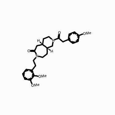 COc1ccc(CC(=O)N2CC[C@H]3CC(=O)N(CCc4cccc(OC)c4OC)CC[C@H]3C2)cc1